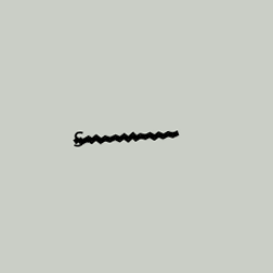 CCCCCCCCCCCCCCCCCCCCC[CH]SC